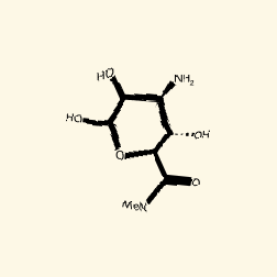 CNC(=O)C1OC(O)C(O)[C@@H](N)[C@@H]1O